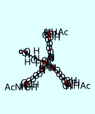 CC(=O)N[C@H]1[C@H]2OC[C@](COCCOCCOCCOCCn3cc(COCC(COCc4cn(CCOCCOCCOCCOC[C@@]56CO[C@@H](O5)[C@H](NC(C)=O)[C@@H](O)[C@H]6O)nn4)(COCc4cn(CCOCCOCCOCCOC[C@@]56CO[C@@H](O5)[C@H](NC(C)=O)[C@@H](O)[C@H]6O)nn4)NC(=O)CCCCCNC(=O)CCCCCNC(=O)OCc4ccccc4)nn3)(O2)[C@H](O)[C@@H]1O